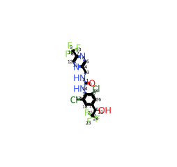 O=C(NCc1cnc(C(F)(F)F)cn1)Nc1c(Cl)cc([C@H](O)C(F)(F)F)cc1Cl